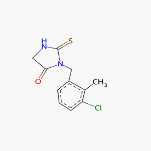 Cc1c(Cl)cccc1CN1C(=O)CNC1=S